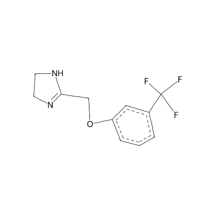 FC(F)(F)c1cccc(OCC2=NCCN2)c1